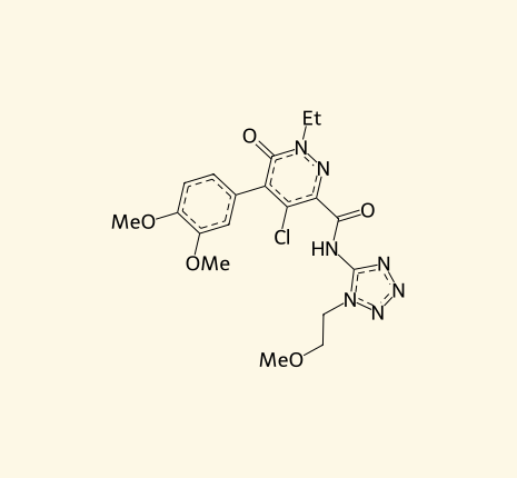 CCn1nc(C(=O)Nc2nnnn2CCOC)c(Cl)c(-c2ccc(OC)c(OC)c2)c1=O